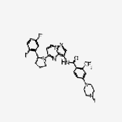 O=C(Nc1cnn2ccc(N3CCCC3c3cc(F)ccc3F)nc12)c1ccc(N2CCN(I)CC2)cc1C(F)(F)F